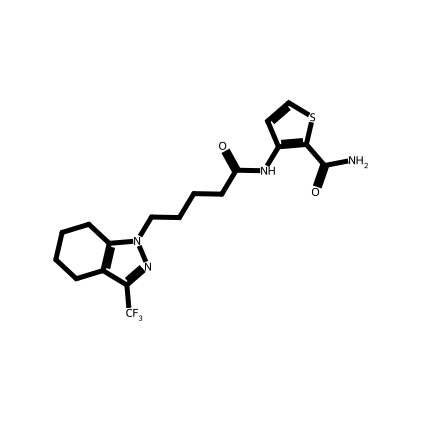 NC(=O)c1sccc1NC(=O)CCCCn1nc(C(F)(F)F)c2c1CCCC2